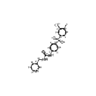 Cc1ccc(S(=O)(=O)c2ccc(NC(=O)NCc3cccnc3)cc2)cc1Cl